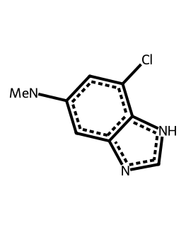 CNc1cc(Cl)c2[nH]cnc2c1